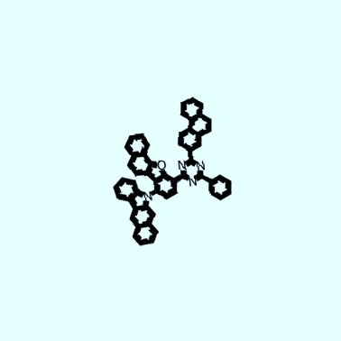 c1ccc(-c2nc(-c3ccc4c(ccc5ccccc54)c3)nc(-c3ccc(-n4c5ccccc5c5cc6ccccc6cc54)c4c3oc3c5ccccc5ccc34)n2)cc1